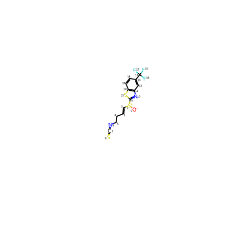 [O-][S+](/C=C/CCN=C=S)c1nc2cc(C(F)(F)F)ccc2s1